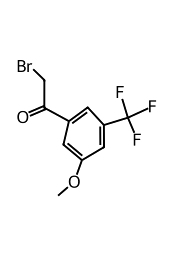 COc1cc(C(=O)CBr)cc(C(F)(F)F)c1